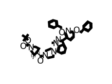 C[C@@H]1CN(C(=O)OC(C)(C)C)CC[C@H]1C(=O)N1CCN(c2cccc3c(-c4ccc(OCc5ccccc5)nc4OCc4ccccc4)nn(C)c23)CC1